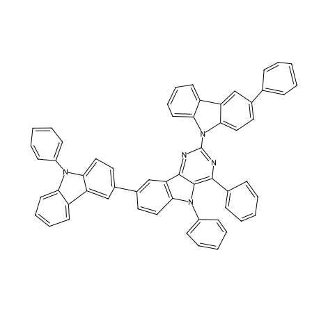 c1ccc(-c2ccc3c(c2)c2ccccc2n3-c2nc(-c3ccccc3)c3c(n2)c2cc(-c4ccc5c(c4)c4ccccc4n5-c4ccccc4)ccc2n3-c2ccccc2)cc1